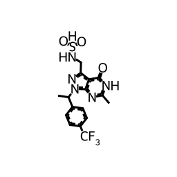 Cc1nc2c(c(CN[SH](=O)=O)nn2C(C)c2ccc(C(F)(F)F)cc2)c(=O)[nH]1